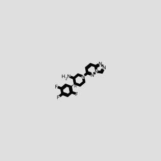 NC1CN(c2ccc3nncn3n2)CC[C@@H]1c1cc(F)c(F)cc1F